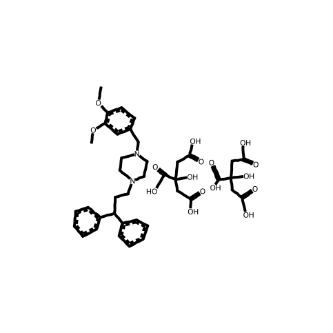 COc1ccc(CN2CCN(CCC(c3ccccc3)c3ccccc3)CC2)cc1OC.O=C(O)CC(O)(CC(=O)O)C(=O)O.O=C(O)CC(O)(CC(=O)O)C(=O)O